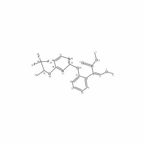 COC=C(C(=O)OC)c1ccccc1Oc1nccc(OC(C)C(F)(F)F)n1